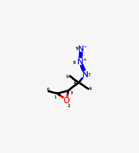 CC1OC1C(C)(C)N=[N+]=[N-]